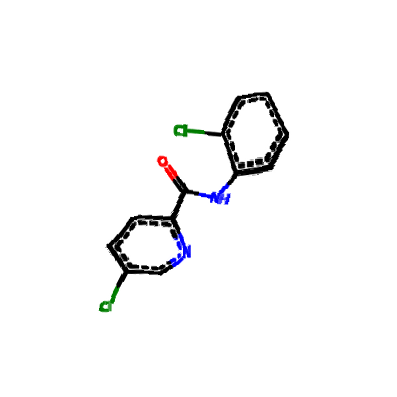 O=C(Nc1ccccc1Cl)c1ccc(Cl)cn1